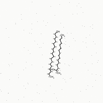 CCCCCCCCCCCCCCC(C)O.CCCCCCCCCCCCCCCCCCO